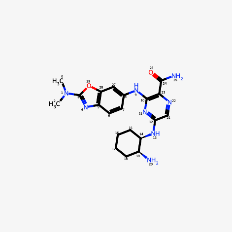 CN(C)c1nc2ccc(Nc3nc(N[C@@H]4CCCC[C@@H]4N)cnc3C(N)=O)cc2o1